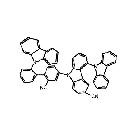 N#Cc1ccc2c(c1)c1c(-n3c4ccccc4c4ccccc43)cccc1n2-c1ccc(-c2ccccc2-n2c3ccccc3c3ccccc32)c(C#N)c1